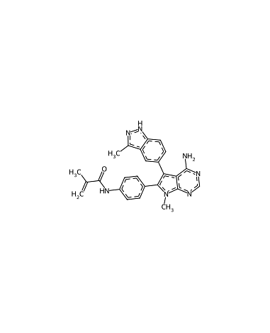 C=C(C)C(=O)Nc1ccc(-c2c(-c3ccc4[nH]nc(C)c4c3)c3c(N)ncnc3n2C)cc1